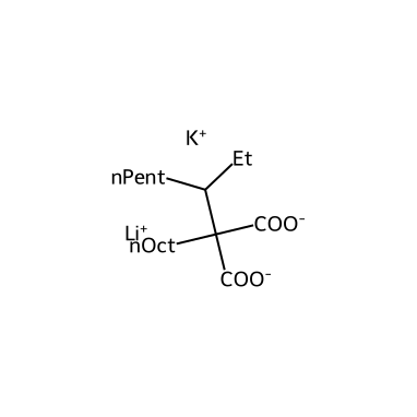 CCCCCCCCC(C(=O)[O-])(C(=O)[O-])C(CC)CCCCC.[K+].[Li+]